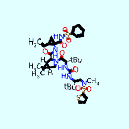 C=CC1C[C@]1(NC(=O)[C@@H]1[C@@H]2[C@H](CN1C(=O)[C@@H](NC(=O)N[C@H](CN(C)S(=O)(=O)c1cccs1)C(C)(C)C)C(C)(C)C)C2(C)C)C(=O)NS(=O)(=O)c1ccccc1